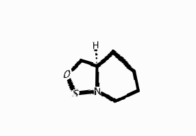 C1CCN2SOC[C@H]2C1